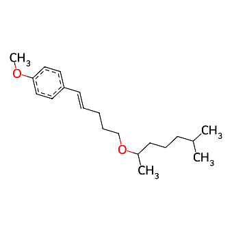 COc1ccc(/C=C/CCCOC(C)CCCC(C)C)cc1